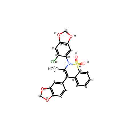 O=C(O)C1=C(c2ccc3c(c2)OCO3)c2ccccc2S(=O)(=O)N1c1cc2c(cc1Cl)OCO2